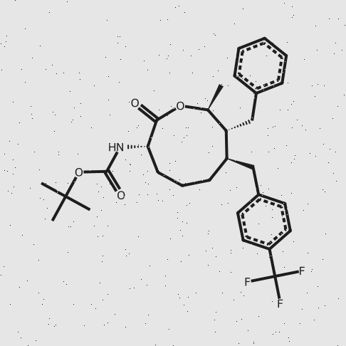 C[C@@H]1OC(=O)[C@@H](NC(=O)OC(C)(C)C)CCC[C@H](Cc2ccc(C(F)(F)F)cc2)[C@H]1Cc1ccccc1